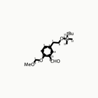 COCOc1ccc(CCO[Si](C)(C)C(C)(C)C)cc1C=O